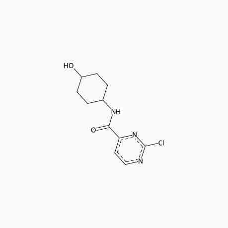 O=C(NC1CCC(O)CC1)c1ccnc(Cl)n1